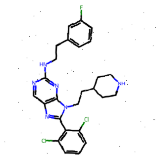 Fc1cccc(CCNc2ncc3nc(-c4c(Cl)cccc4Cl)n(CCC4CCNCC4)c3n2)c1